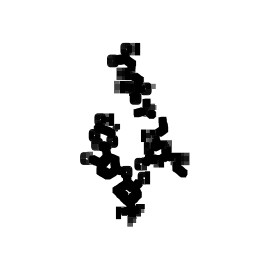 CCNc1nc(Cl)nc(NCC)n1.C[C@H](OC(=O)c1cc(Oc2ccc(C(F)(F)F)cc2Cl)ccc1Cl)C(=O)O.C[S+](C)C.O=C(O)CNCP(=O)([O-])O